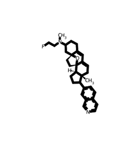 CN(CCF)C1CCC2=CC3=CC[C@]4(C)C(c5ccc6ccncc6c5)CC[C@H]4[C@@]34CC[C@]2(C1)O4